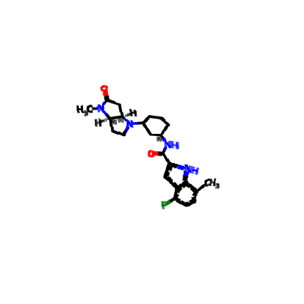 Cc1ccc(F)c2cc(C(=O)N[C@@H]3CCCC(N4CC[C@@H]5[C@H]4CC(=O)N5C)C3)[nH]c12